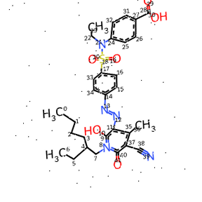 CCCCC(CC)Cn1c(O)c(/N=N/c2ccc(S(=O)(=O)N(CC)c3ccc(C(=O)O)cc3)cc2)c(C)c(C#N)c1=O